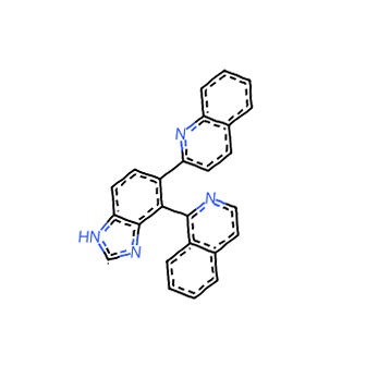 [c]1nc2c(-c3nccc4ccccc34)c(-c3ccc4ccccc4n3)ccc2[nH]1